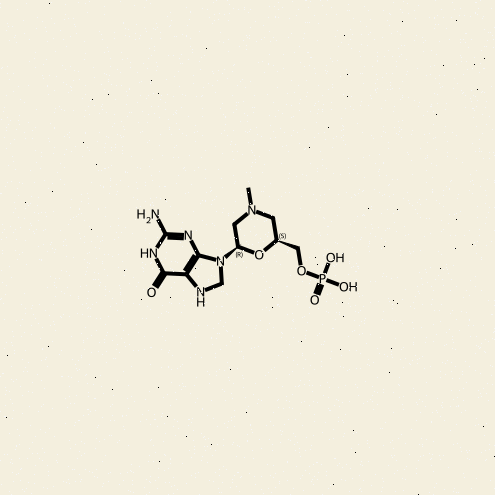 CN1C[C@@H](COP(=O)(O)O)O[C@@H](N2CNc3c2nc(N)[nH]c3=O)C1